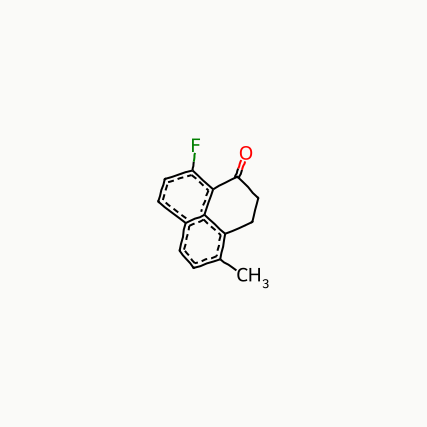 Cc1ccc2ccc(F)c3c2c1CCC3=O